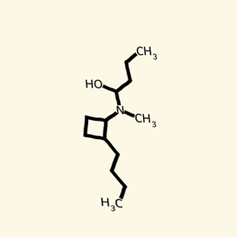 CCCCC1CCC1N(C)C(O)CCC